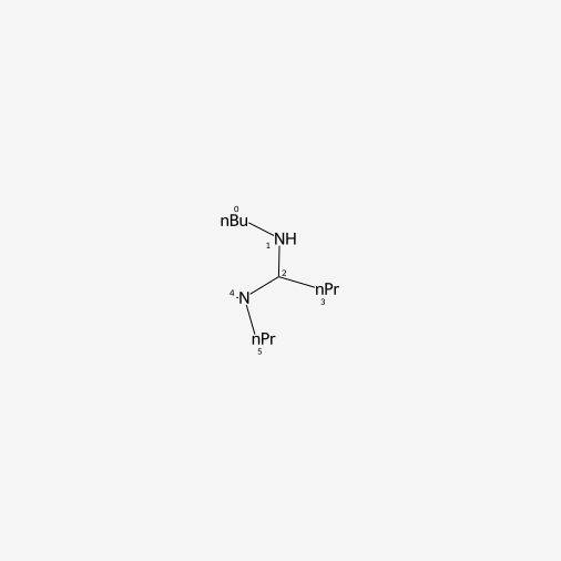 CCCCNC(CCC)[N]CCC